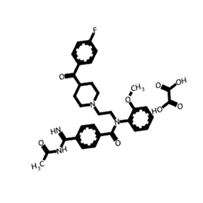 COc1ccccc1N(CCN1CCC(C(=O)c2ccc(F)cc2)CC1)C(=O)c1ccc(C(=N)NC(C)=O)cc1.O=C(O)C(=O)O